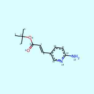 CC(C)(C)OC(=O)C=Cc1ccc(N)nc1